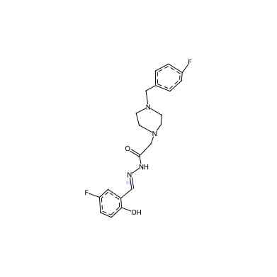 O=C(CN1CCN(Cc2ccc(F)cc2)CC1)N/N=C/c1cc(F)ccc1O